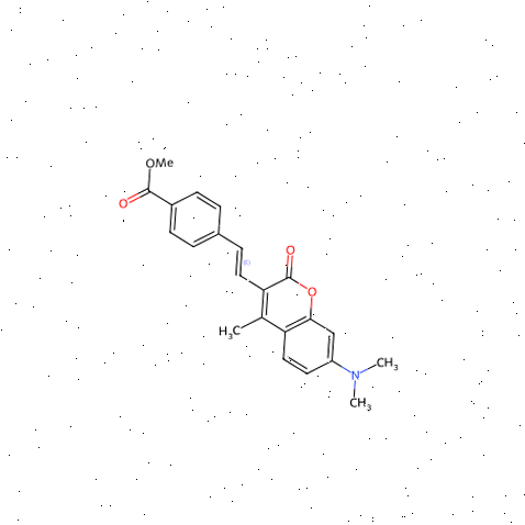 COC(=O)c1ccc(/C=C/c2c(C)c3ccc(N(C)C)cc3oc2=O)cc1